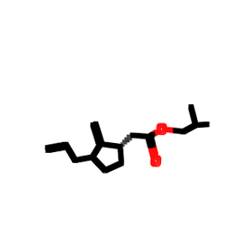 C=CCC1CC[C@@H](CC(=O)OCC(C)C)C1=C